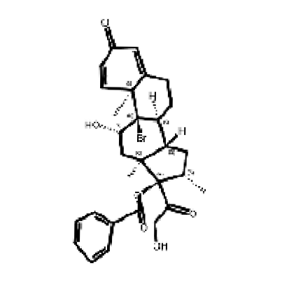 C[C@H]1C[C@H]2[C@@H]3CCC4=CC(=O)C=C[C@]4(C)[C@@]3(Br)[C@@H](O)C[C@]2(C)[C@@]1(OC(=O)c1ccccc1)C(=O)CO